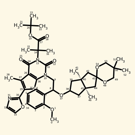 COc1ccccc1C(Cn1c(=O)n(C(C)(C)C(=O)OC(C)(C)C)c(=O)c2c(C)c(-c3ncco3)sc21)OC1C[C@@]2(C)CC3(C[C@@]2(C)C1)OCC(C)(C)CO3